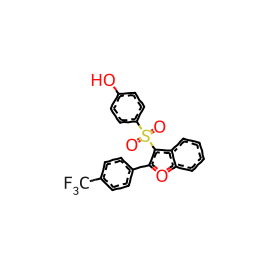 O=S(=O)(c1ccc(O)cc1)c1c(-c2ccc(C(F)(F)F)cc2)oc2ccccc12